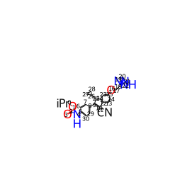 CC(C)OC(=O)Nc1ccc(C2=C(C#N)c3ccc(OCc4ncn[nH]4)cc3C2C2CC2)cc1